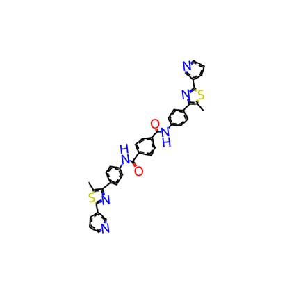 Cc1sc(-c2cccnc2)nc1-c1ccc(NC(=O)c2ccc(C(=O)Nc3ccc(-c4nc(-c5cccnc5)sc4C)cc3)cc2)cc1